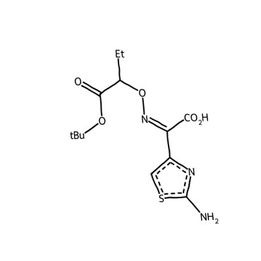 CCC(ON=C(C(=O)O)c1csc(N)n1)C(=O)OC(C)(C)C